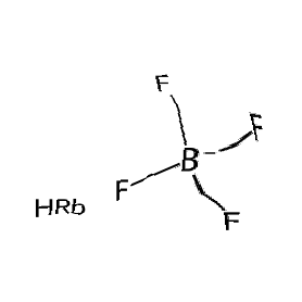 F[B-](F)(F)F.[RbH]